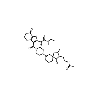 CCNC(=O)Nc1sc2c(c1C(=O)N1CCC(N3CCCC4(CC(C)N(CCOC(C)=O)C4=O)C3)CC1)CCCC2=O